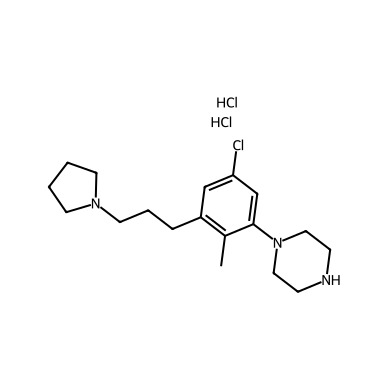 Cc1c(CCCN2CCCC2)cc(Cl)cc1N1CCNCC1.Cl.Cl